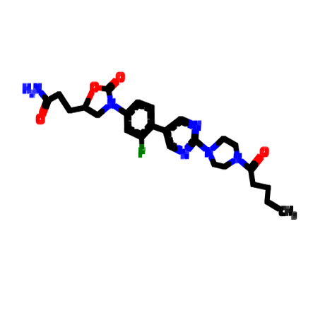 CCCCC(=O)N1CCN(c2ncc(-c3ccc(N4CC(CCC(N)=O)OC4=O)cc3F)cn2)CC1